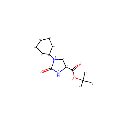 CC(C)(C)OC(=O)C1CN(C2CCCCC2)C(=O)N1